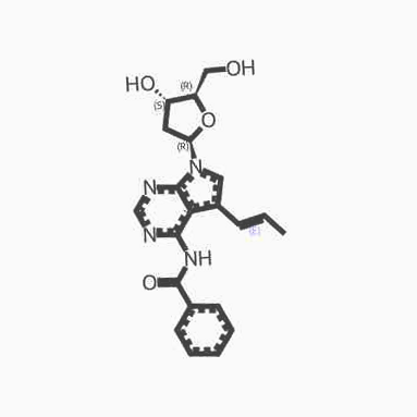 C/C=C/c1cn([C@H]2C[C@H](O)[C@@H](CO)O2)c2ncnc(NC(=O)c3ccccc3)c12